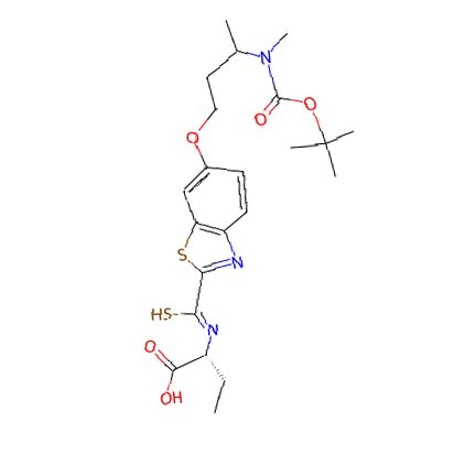 CC[C@@H](/N=C(\S)c1nc2ccc(OCCC(C)N(C)C(=O)OC(C)(C)C)cc2s1)C(=O)O